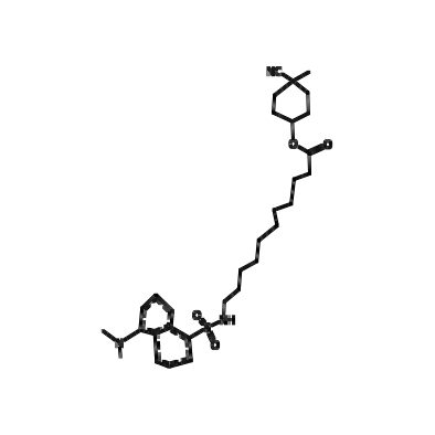 CN(C)c1cccc2c(S(=O)(=O)NCCCCCCCCCCC(=O)OC3CCC(C)(C#N)CC3)cccc12